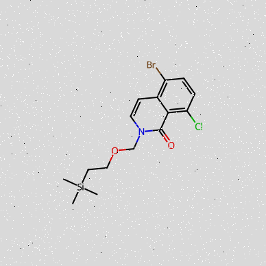 C[Si](C)(C)CCOCn1ccc2c(Br)ccc(Cl)c2c1=O